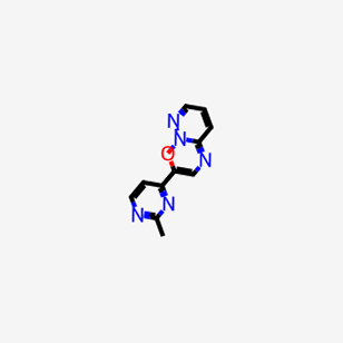 Cc1nccc(C2=CN=C3C=CC=NN3O2)n1